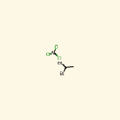 CCC(C)CC.[Cl][Al]([Cl])[Cl]